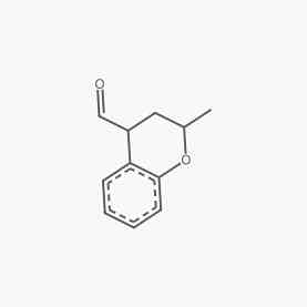 CC1CC(C=O)c2ccccc2O1